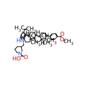 C=C(C)[C@@H]1CC[C@]2(NCC3CCCN(C(=O)O)C3)CC[C@]3(C)[C@H](CC[C@@H]4[C@@]5(C)CC=C(c6ccc(C(=O)OC)cc6)C(C)(C)[C@@H]5CC[C@]43C)[C@@H]12